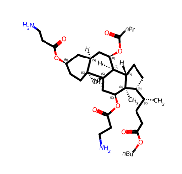 CCCCOC(=O)CC[C@@H](C)[C@H]1CC[C@H]2[C@@H]3[C@H](OC(=O)CCC)C[C@@H]4C[C@H](OC(=O)CCN)CC[C@]4(C)[C@H]3C[C@H](OC(=O)CCN)[C@]12C